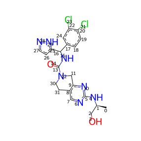 C[C@@H](CO)Nc1ncc2c(n1)CN(C(=O)NC(c1ccc(Cl)c(Cl)c1)c1ccn[nH]1)CC2